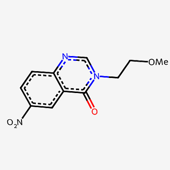 COCCn1cnc2ccc([N+](=O)[O-])cc2c1=O